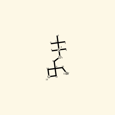 CC(C)(C)[Si](C)(C)OCC1(CBr)COC1